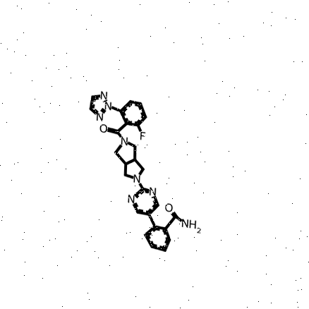 NC(=O)c1ccccc1-c1cnc(N2CC3CN(C(=O)c4c(F)cccc4-n4nccn4)CC3C2)nc1